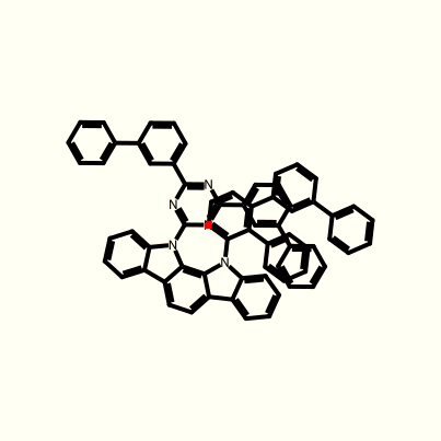 c1ccc(-c2cccc(-c3nc(-c4cccc(-c5ccccc5)c4)nc(-n4c5ccccc5c5ccc6c7ccccc7n(-c7cccc(-c8cccc(-c9ccccc9)c8)c7-c7ccccc7)c6c54)n3)c2)cc1